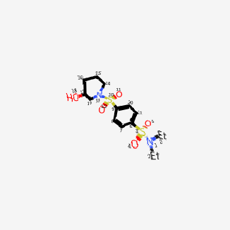 CCN(CC)S(=O)(=O)c1ccc(S(=O)(=O)N2CCCC(O)C2)cc1